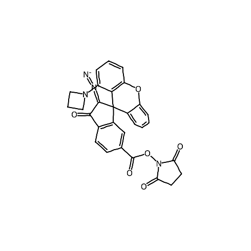 [N-]=[N+]=C1C(=O)c2ccc(C(=O)ON3C(=O)CCC3=O)cc2C12c1ccccc1Oc1cccc(N3CCC3)c12